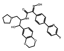 O=C(NC(CN1CCCC1)C(O)c1ccc2c(c1)OCCO2)/C(=N/O)c1ccc(-c2ccc(F)cn2)cc1